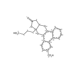 O=C(O)CCCC12OC(=O)CC1Oc1c(c3ccc(C(=O)O)cc3c3ccccc13)O2